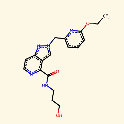 O=C(NCCCO)c1nccc2nn(Cc3cccc(OCC(F)(F)F)n3)cc12